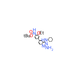 CCOc1cc(-c2ccc3nc(N)nc(NC4CCCCC4)c3c2)ccc1NC(=O)OC(C)(C)C